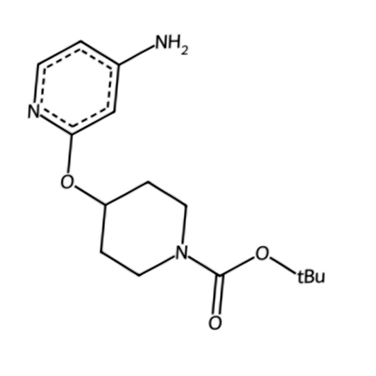 CC(C)(C)OC(=O)N1CCC(Oc2cc(N)ccn2)CC1